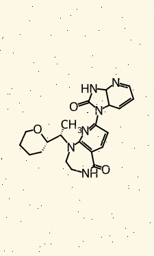 C[C@@H]([C@@H]1CCCCO1)N1CCNC(=O)c2ccc(N3C(=O)NC4N=CC=CC43)nc21